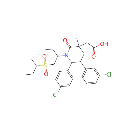 CCC(CS(=O)(=O)C(C)CC)N1C(=O)C(C)(CC(=O)O)CC(c2cccc(Cl)c2)C1c1ccc(Cl)cc1